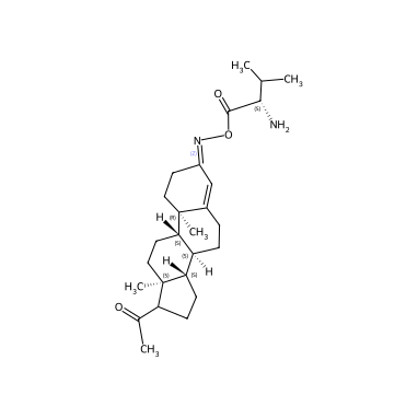 CC(=O)C1CC[C@H]2[C@@H]3CCC4=C/C(=N\OC(=O)[C@@H](N)C(C)C)CC[C@]4(C)[C@H]3CC[C@]12C